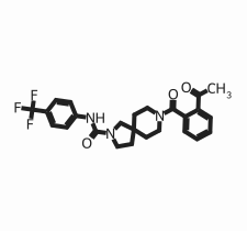 CC(=O)c1ccccc1C(=O)N1CCC2(CCN(C(=O)Nc3ccc(C(F)(F)F)cc3)C2)CC1